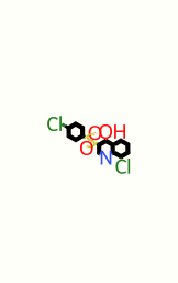 O=S(=O)(c1ccc(Cl)cc1)c1cnc2c(Cl)cccc2c1O